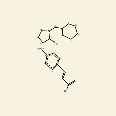 O=C(O)C=Cc1ccc(N[C@@H]2CCN(CC3CCCCC3)C2I)nn1